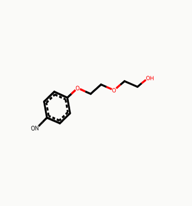 O=Nc1ccc(OCCOCCO)cc1